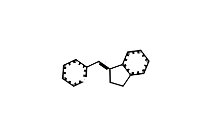 C(=C1/CCc2ccccc21)/c1ccccn1